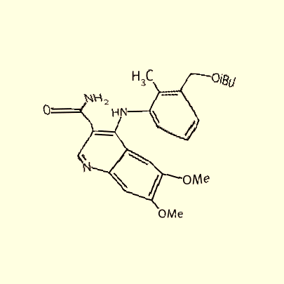 COc1cc2ncc(C(N)=O)c(Nc3cccc(COCC(C)C)c3C)c2cc1OC